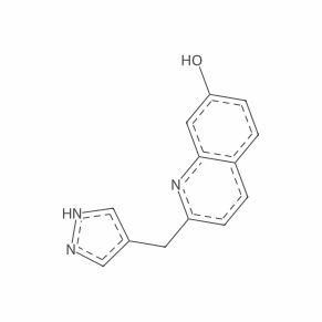 Oc1ccc2ccc(Cc3cn[nH]c3)nc2c1